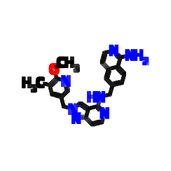 COc1ncc(Cn2cc3c(NCc4ccc5c(N)nccc5c4)nccc3n2)cc1C